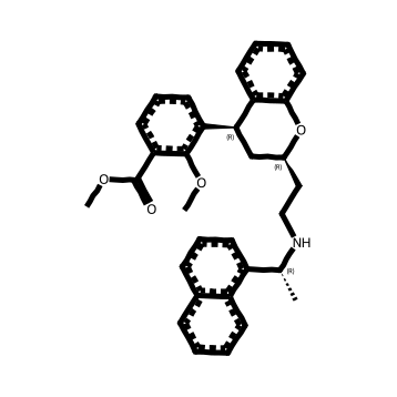 COC(=O)c1cccc([C@@H]2C[C@H](CCN[C@H](C)c3cccc4ccccc34)Oc3ccccc32)c1OC